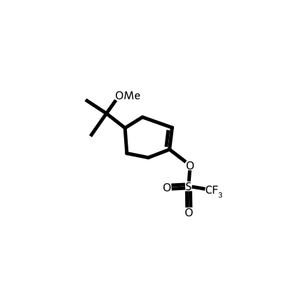 COC(C)(C)C1CC=C(OS(=O)(=O)C(F)(F)F)CC1